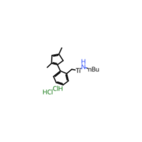 CCCC[NH][Ti][CH2]c1ccccc1C1=C(C)C=C(C)C1.Cl.Cl